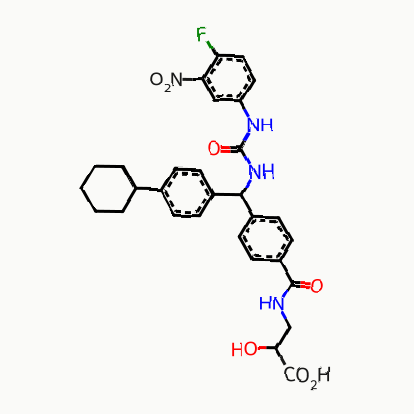 O=C(Nc1ccc(F)c([N+](=O)[O-])c1)NC(c1ccc(C(=O)NCC(O)C(=O)O)cc1)c1ccc(C2CCCCC2)cc1